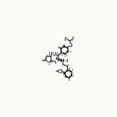 Oc1ccccc1CCN[C@H](CN1CCCC1)[C@H](O)c1ccc(OC(F)F)cc1